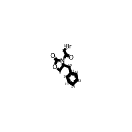 O=C(CBr)N1C(=O)OCC1Cc1ccccc1